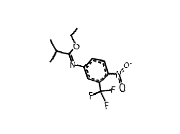 CCOC(=Nc1ccc([N+](=O)[O-])c(C(F)(F)F)c1)C(C)C